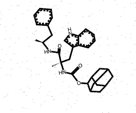 [CH2][C@@H](Cc1ccccc1)NC(=O)[C@@](C)(Cc1c[nH]c2ccccc12)NC(=O)OC1C2CC3CC(C2)CC1C3